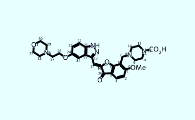 COc1ccc2c(c1CN1CCN(C(=O)O)CC1)O/C(=C\c1n[nH]c3ccc(OCCN4CCOCC4)cc13)C2=O